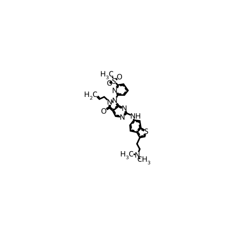 C=CCn1c(=O)c2cnc(Nc3ccc4c(CCN(C)C)csc4c3)nc2n1-c1cccc(S(C)(=O)=O)n1